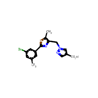 Cc1sc(-c2cc(Br)cc(C(F)(F)F)c2)nc1Cn1cc(C(=O)O)cn1